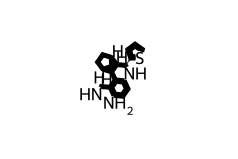 N=Cc1c(N)ccc2c1[C@H]1[C@@H]3CC[C@H](C3)[C@H]1[C@H](c1cccs1)N2